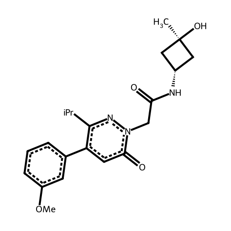 COc1cccc(-c2cc(=O)n(CC(=O)N[C@H]3C[C@](C)(O)C3)nc2C(C)C)c1